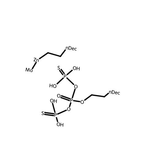 CCCCCCCCCCCCOP(=O)(OP(O)(O)=S)OP(O)(O)=S.CCCCCCCCCCC[CH2][Zn][Mo]